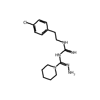 N=C(NCCc1ccc(Cl)cc1)NC(=NN)N1CCCCC1